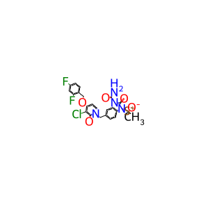 C[S+]([O-])n1c(=O)n(C(N)=O)c2cc(Cn3ccc(OCc4ccc(F)cc4F)c(Cl)c3=O)ccc21